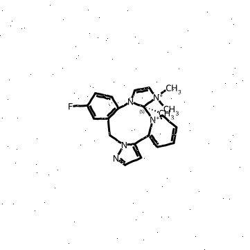 C[C@]12N(C=C[N+]1(C)C)c1ccc(F)cc1Cn1nccc1-c1cccc[n+]12